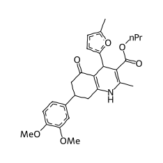 CCCOC(=O)C1=C(C)NC2=C(C(=O)CC(c3ccc(OC)c(OC)c3)C2)C1c1ccc(C)o1